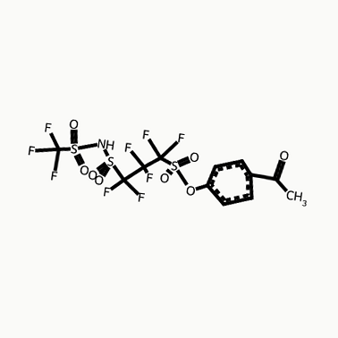 CC(=O)c1ccc(OS(=O)(=O)C(F)(F)C(F)(F)C(F)(F)S(=O)(=O)NS(=O)(=O)C(F)(F)F)cc1